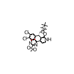 CC(C)(C)[Si](C)(C)OC[C@@H](c1ccc(Cl)c(Cl)c1)c1c(-c2ccnc(S(C)(=O)=O)n2)cc[nH]c1=O